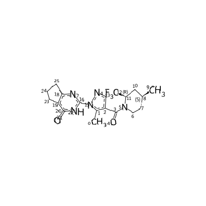 Cc1c(C(=O)N2CC[C@H](C)C[C@@H]2C(F)(F)F)cnn1-c1nc2c(c(=O)[nH]1)CCC2